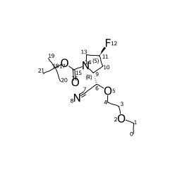 CCOCCOC(C#N)[C@H]1C[C@H](F)CN1C(=O)OC(C)(C)C